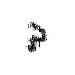 O=C1CCC(c2ccc(N3CCN(CC4CCN(C(=O)c5ccc(Nc6ncc(F)c(Nc7ccc(C(=O)Nc8ccccc8Cl)cc7)n6)cc5)CC4)CC3)cc2)C(=O)N1